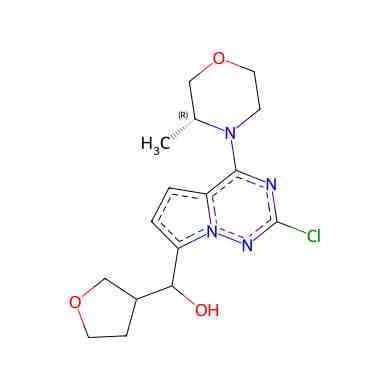 C[C@@H]1COCCN1c1nc(Cl)nn2c(C(O)C3CCOC3)ccc12